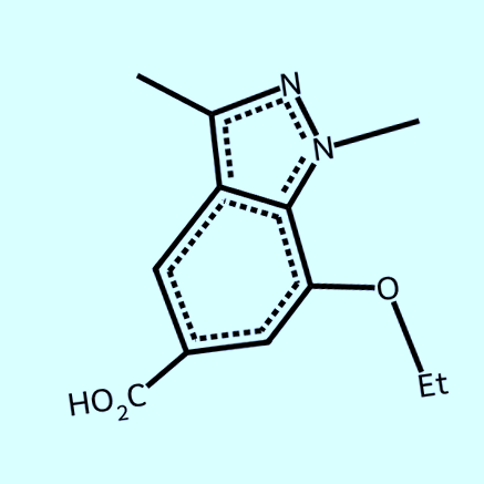 CCOc1cc(C(=O)O)cc2c(C)nn(C)c12